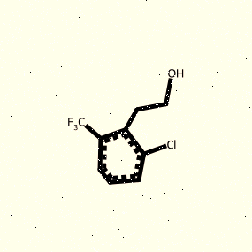 OCCc1c(Cl)cccc1C(F)(F)F